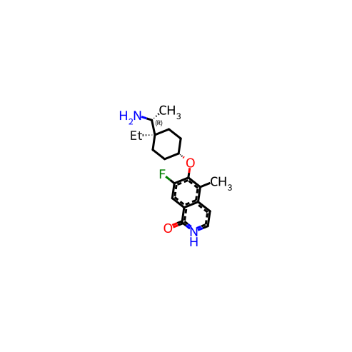 CC[C@]1([C@@H](C)N)CC[C@H](Oc2c(F)cc3c(=O)[nH]ccc3c2C)CC1